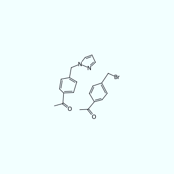 CC(=O)c1ccc(CBr)cc1.CC(=O)c1ccc(Cn2cccn2)cc1